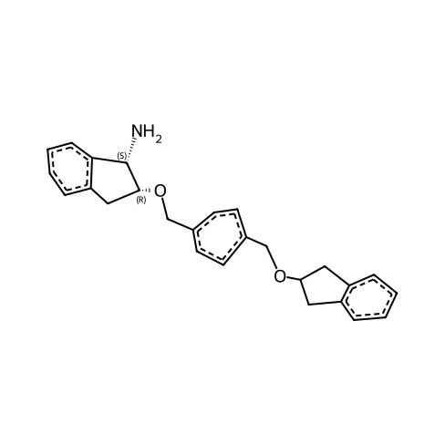 N[C@H]1c2ccccc2C[C@H]1OCc1ccc(COC2Cc3ccccc3C2)cc1